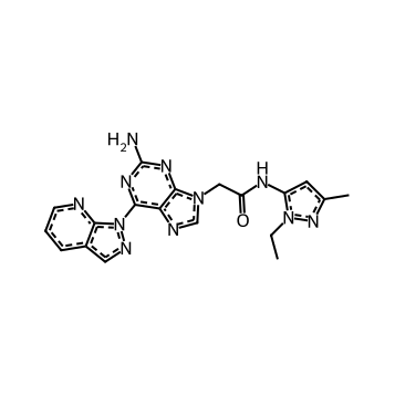 CCn1nc(C)cc1NC(=O)Cn1cnc2c(-n3ncc4cccnc43)nc(N)nc21